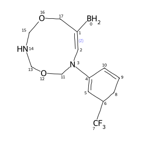 B/C1=C/N(C2=CC(C(F)(F)F)CC=C2)COCNCOC1